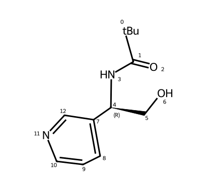 CC(C)(C)C(=O)N[C@@H](CO)c1cccnc1